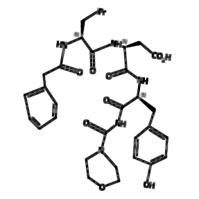 CC(C)C[C@H](NC(=O)Cc1ccccc1)C(=O)N[C@@H](CC(=O)O)C(=O)N[C@@H](Cc1ccc(O)cc1)C(=O)NC(=O)N1CCOCC1